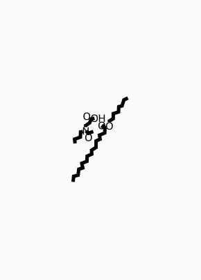 CCCCCCCCCCCCCCCC(=O)OCCCCCCCC.CCCCN(CCC(=O)O)C(C)=O